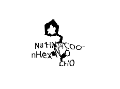 CCCCCCN(N[C@@H](Cc1ccccc1)C(=O)[O-])C(=O)C=O.[Na+]